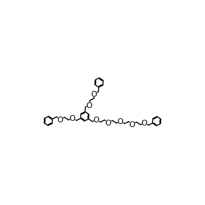 c1ccc(COCCOCCOCCOCCOCc2cc(COCCOCc3ccccc3)cc(COCCOCc3ccccc3)c2)cc1